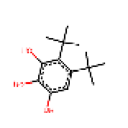 CC(C)(C)c1cc(O)c(O)c(O)c1C(C)(C)C